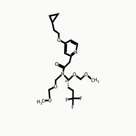 COCOCN(C(=O)Cc1cc(OCCC2CC2)ccn1)[C@@H](CCC(F)(F)F)OCOC